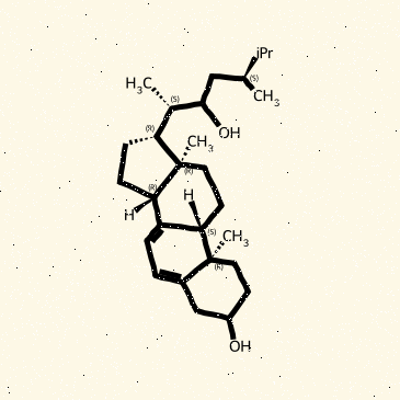 CC(C)[C@@H](C)CC(O)[C@@H](C)[C@H]1CC[C@H]2C3=CC=C4CC(O)CC[C@]4(C)[C@H]3CC[C@]12C